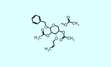 C=CCO[C@@H]1[C@@H](OC(C)=O)[C@@H](OCc2ccccc2)O[C@H](COC(C)=O)[C@H]1OC(C)=O